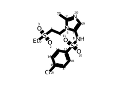 CCS(=O)(=O)CCn1c(NS(=O)(=O)c2ccc(Cl)cc2)cnc1C